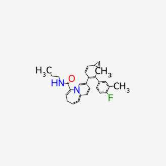 CCCNC(=O)C1=CCC=C=C2C=CC(C(/C=C\C3C=C3)=C(/C)c3ccc(F)c(C)c3)=CN21